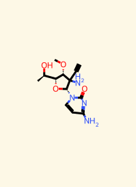 C#CC1(N)[C@@H](OC)[C@@H]([C@@H](C)O)O[C@H]1n1ccc(N)nc1=O